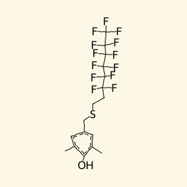 Cc1cc(CSCCC(F)(F)C(F)(F)C(F)(F)C(F)(F)C(F)(F)C(F)(F)F)cc(C)c1O